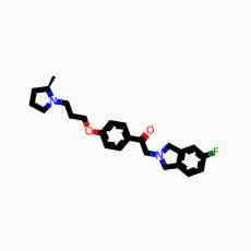 C[C@@H]1CCCN1CCCOc1ccc(C(=O)CN2Cc3ccc(F)cc3C2)cc1